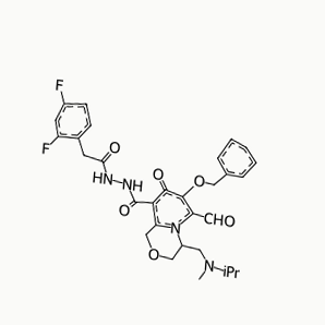 CC(C)N(C)CC1COCc2c(C(=O)NNC(=O)Cc3ccc(F)cc3F)c(=O)c(OCc3ccccc3)c(C=O)n21